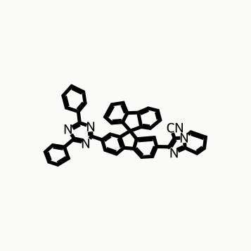 N#Cc1c(-c2ccc3c(c2)C2(c4ccccc4-c4ccccc42)c2cc(-c4nc(-c5ccccc5)nc(-c5ccccc5)n4)ccc2-3)nc2ccccn12